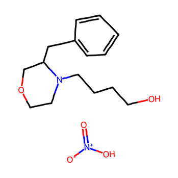 O=[N+]([O-])O.OCCCCN1CCOCC1Cc1ccccc1